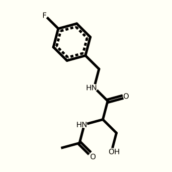 CC(=O)NC(CO)C(=O)NCc1ccc(F)cc1